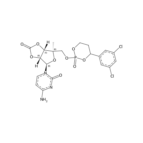 C[C@]1(COP2(=O)OCCC(c3cc(Cl)cc(Cl)c3)O2)O[C@@H](n2ccc(N)nc2=O)[C@@H]2OC(=O)O[C@@H]21